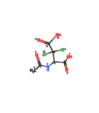 CC(=O)NC(C(=O)O)C(Cl)(Cl)C(=O)O